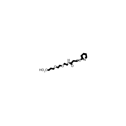 O=C(O)CCCOCCOCCNC(=O)CCSSc1ccccn1